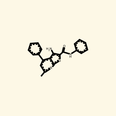 Cc1cc(-c2ccccc2)c2c(N)c(C(=O)Nc3ccccc3)sc2n1